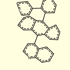 c1ccc(-c2ccccc2-c2c3ccccc3c(-c3ccnc4ccccc34)c3ccccc23)cc1